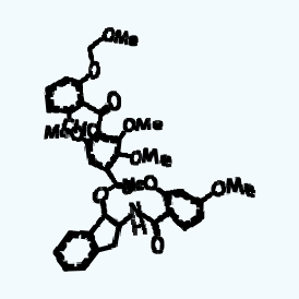 COCOc1cccc(C=O)c1C(=O)c1c(OC)cc(C(=O)OC2c3ccccc3CC2NC(=O)c2ccc(OC)cc2OC)c(OC)c1OC